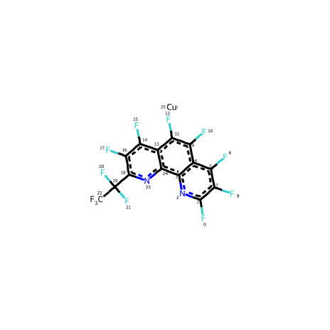 Fc1nc2c(c(F)c1F)c(F)c(F)c1c(F)c(F)c(C(F)(F)C(F)(F)F)nc12.[Cu]